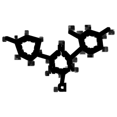 Cc1ccc(-c2nc(Cl)nc(-c3ccc(C)cc3C)n2)cc1